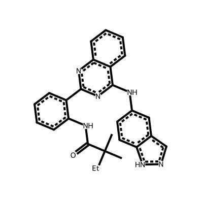 CCC(C)(C)C(=O)Nc1ccccc1-c1nc(Nc2ccc3[nH]ncc3c2)c2ccccc2n1